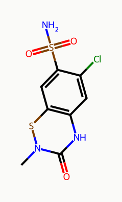 CN1Sc2cc(S(N)(=O)=O)c(Cl)cc2NC1=O